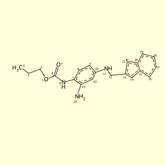 CCCOC(=O)Nc1ccc(NCc2cc3ccccc3s2)cc1N